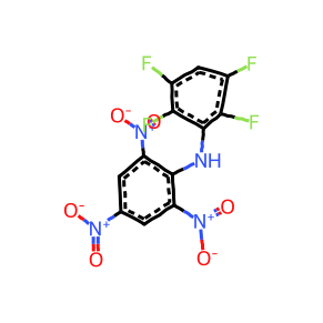 O=[N+]([O-])c1cc([N+](=O)[O-])c(Nc2c(F)c(F)cc(F)c2F)c([N+](=O)[O-])c1